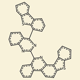 c1ccc2c(-c3cccc4c3sc3ccccc34)nc(-c3nc4c(ccc5sc6ccccc6c54)c4ccccc34)nc2c1